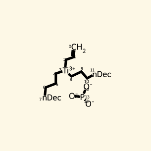 C=C[CH2][Ti+3]([CH2]CCCCCCCCCCCC)[CH2]CCCCCCCCCCCC.[O-]P([O-])[O-]